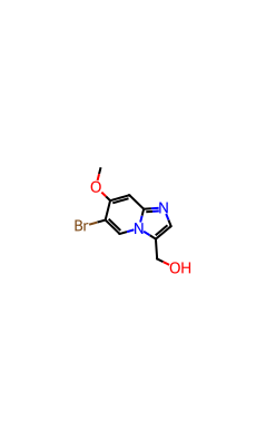 COc1cc2ncc(CO)n2cc1Br